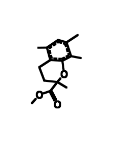 COC(=O)C1(C)CCc2c(C)cc(C)c(C)c2O1